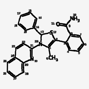 CC1=C(c2ccccc2C(N)=O)SC(c2ccccc2)N1c1ccc2ccccc2n1